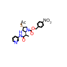 CC(=O)S[C@H]1C[C@H](C(C)C(=O)Nc2cccnc2)N(C(=O)OCc2ccc([N+](=O)[O-])cc2)C1